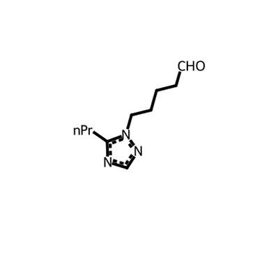 CCCc1ncnn1CCCCC=O